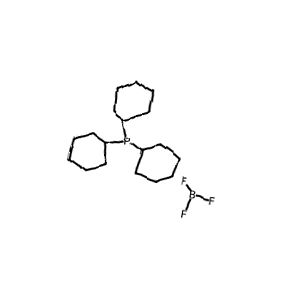 C1CCC(P(C2CCCCC2)C2CCCCC2)CC1.FB(F)F